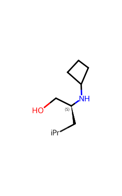 CC(C)C[C@@H](CO)NC1CCC1